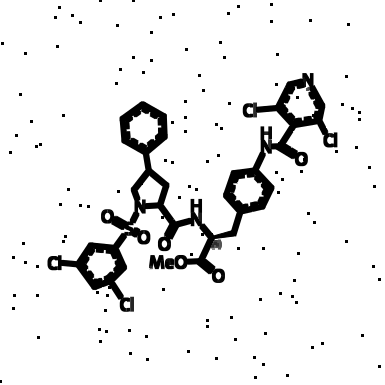 COC(=O)[C@H](Cc1ccc(NC(=O)c2c(Cl)cncc2Cl)cc1)NC(=O)C1CC(c2ccccc2)CN1S(=O)(=O)c1cc(Cl)cc(Cl)c1